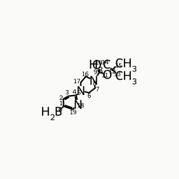 Bc1ccc(N2CCN(C(=O)OC(C)(C)C)CC2)nc1